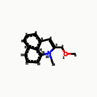 COCC1=Cc2cccc3cccc(c23)N1C